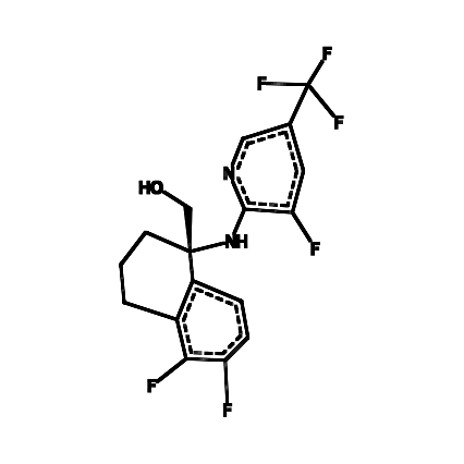 OC[C@]1(Nc2ncc(C(F)(F)F)cc2F)CCCc2c1ccc(F)c2F